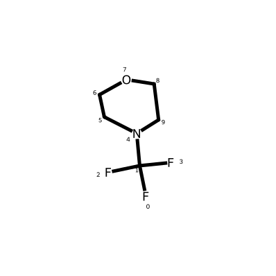 FC(F)(F)N1CCOCC1